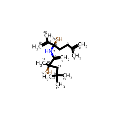 C=C(C)CCC(S)(NC(=C)C(C)(S)CC(C)(C)C)C(=C)C